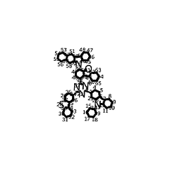 CN1C(c2ccc3c4ccccc4n(-c4ccccc4)c3c2)=NC(c2ccc3sc4ccccc4c3c2)=NC1c1ccc(-n2c3ccccc3c3cc4ccccc4cc32)c2oc3ccccc3c12